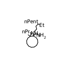 CCCCCC(CC)CCCC(N)C1(C)CCCCCCCCCCC1(C)C(N)CCC